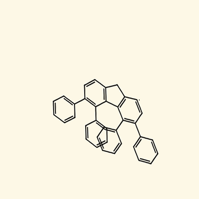 [c]1cc(-c2ccccc2)c(-c2ccccc2)c2c1Cc1ccc(-c3ccccc3)c(-c3ccccc3)c1-2